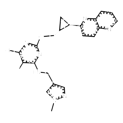 Cc1c(Cl)nc(OC[C@@H]2C[C@H]2c2ccc3ncccc3n2)nc1NCc1cnn(C)c1